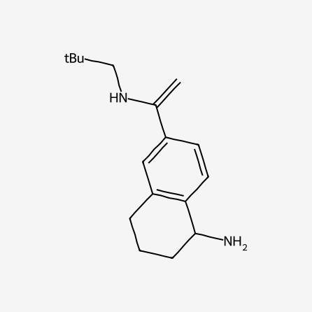 C=C(NCC(C)(C)C)c1ccc2c(c1)CCCC2N